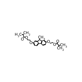 C=C(C)C(=O)OCCOc1ccc2c(c1)C(C)c1cc(OCCOC(=O)C(=C)C)ccc1-2